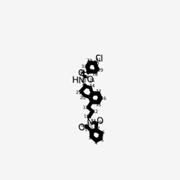 O=C1c2ccccc2C(=O)N1CCCc1cccc2c1CCC(NS(=O)(=O)c1ccc(Cl)cc1)C2